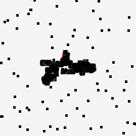 COc1cc2c(cc1OCc1cc(COc3cc4c(cc3OC)C(=O)N3Cc5ccoc5C[C@H]3C=N4)cc(CN(C)C)c1)N=C[C@@H]1Cc3occc3CN1C2=O